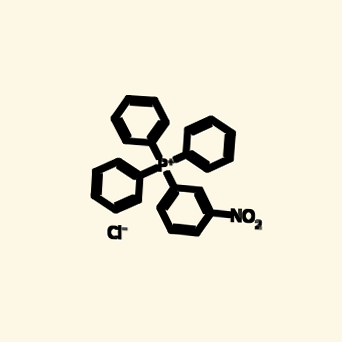 O=[N+]([O-])c1cccc([P+](c2ccccc2)(c2ccccc2)c2ccccc2)c1.[Cl-]